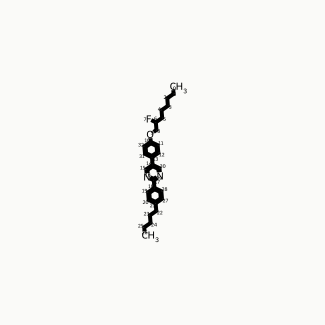 CCCCCCC(F)COc1ccc(-c2cnc(-c3ccc(CCCCC)cc3)nc2)cc1